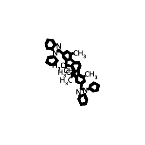 Cc1cc(-c2nc3ccccc3n2-c2ccccc2)cc2c1-c1ccc3c(c1C2(C)C)C(C)(C)c1cc(-c2nc4ccccc4n2-c2ccccc2)cc(C)c1-3